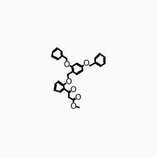 COC(=O)CC(=O)c1ccccc1OCc1ccc(OCc2ccccc2)cc1OCc1ccccc1